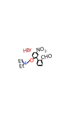 Br.CCN(CC)CCOc1ccc([N+](=O)[O-])cc1-c1ccccc1C=O